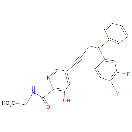 O=C(O)CNC(=O)c1ncc(C#CCN(c2ccccc2)c2ccc(F)c(F)c2)cc1O